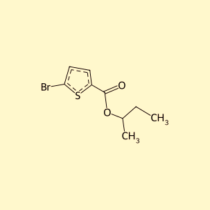 CCC(C)OC(=O)c1ccc(Br)s1